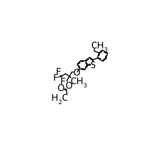 C=CC(=O)OCC(C)(COc1ccc2cc(-c3ccccc3CC)sc2c1)CC(F)(F)F